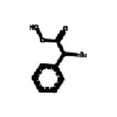 CCCCC(C(=O)OO)c1ccccc1